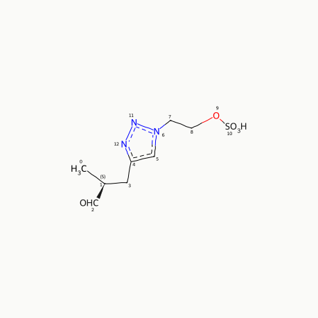 C[C@H](C=O)Cc1cn(CCOS(=O)(=O)O)nn1